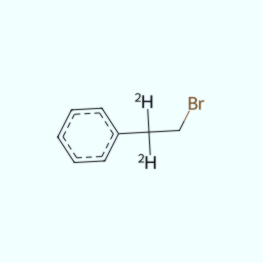 [2H]C([2H])(CBr)c1ccccc1